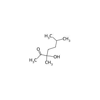 CC(=O)C(C)(O)CCC(C)C